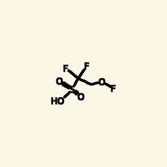 O=S(=O)(O)C(F)(F)COF